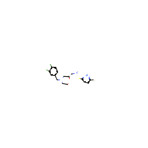 CC(=O)N(C[C@@H]1CN(Cc2ccc(Cl)c(Cl)c2)CCO1)Sc1ccc(C(=O)O)nn1